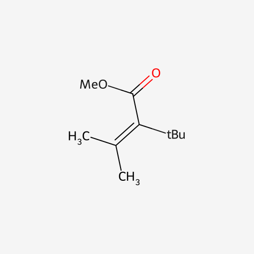 COC(=O)C(=C(C)C)C(C)(C)C